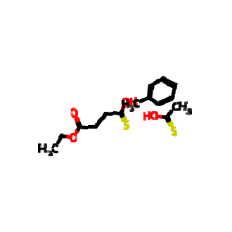 CC(O)=S.CCOC(=O)CCC(O)=S.Cc1ccccc1